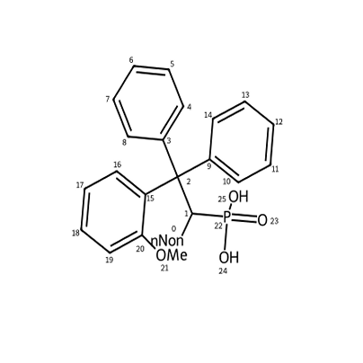 CCCCCCCCCC(C(c1ccccc1)(c1ccccc1)c1ccccc1OC)P(=O)(O)O